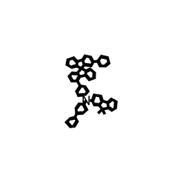 CC1(C)c2ccccc2-c2ccc(N(c3ccc(-c4ccccc4)cc3)c3ccc(-c4cccc5c4-c4ccccc4C54c5ccccc5-c5ccc(-c6ccccc6)cc54)cc3)cc21